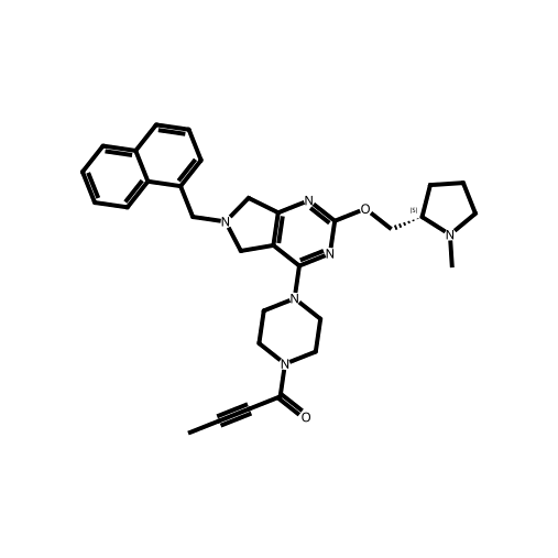 CC#CC(=O)N1CCN(c2nc(OC[C@@H]3CCCN3C)nc3c2CN(Cc2cccc4ccccc24)C3)CC1